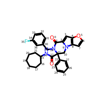 O=C1c2cc3occc3n2CC(C(=O)NC2CCCCCC2)(c2ccccc2)N1Cc1cccc(F)c1